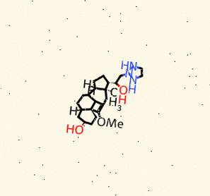 COC1=C2C[C@]3(C)[C@@H](C(O)CN4NCCN4)CC[C@H]3[C@@H]3CC[C@H]4C[C@H](O)CC[C@@]14C23